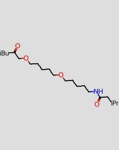 CCC(C)C(=O)COCCCCCOCCCCCNC(=O)CC(C)C